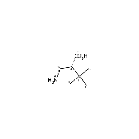 CC(C)(C)[C@H](CN)C(=O)O